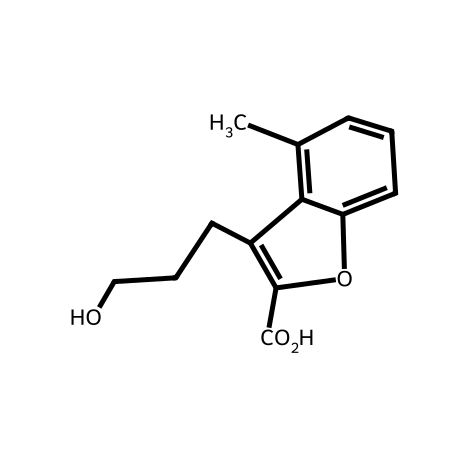 Cc1cccc2oc(C(=O)O)c(CCCO)c12